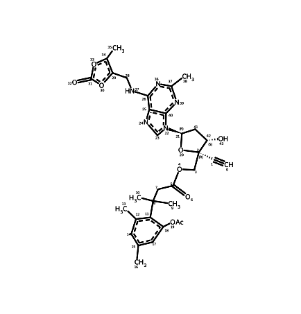 C#C[C@]1(COC(=O)CC(C)(C)c2c(C)cc(C)cc2OC(C)=O)O[C@@H](n2cnc3c(NCc4oc(=O)oc4C)nc(C)nc32)C[C@@H]1O